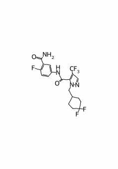 NC(=O)c1cc(NC(=O)c2c(C(F)(F)F)cnn2CC2CCC(F)(F)CC2)ccc1F